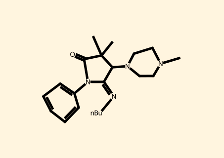 CCCC/N=C1/C(N2CCN(C)CC2)C(C)(C)C(=O)N1c1ccccc1